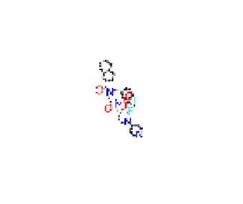 O=C(c1ccc2ccccc2c1)N1CC(=O)[N+](CC2CCN(c3ccncc3)CC2)(OC(=O)C(F)(F)F)c2ccccc2C1